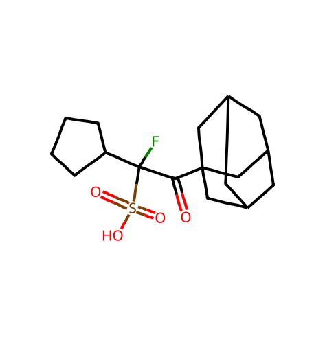 O=C(C12CC3CC(CC(C3)C1)C2)C(F)(C1CCCC1)S(=O)(=O)O